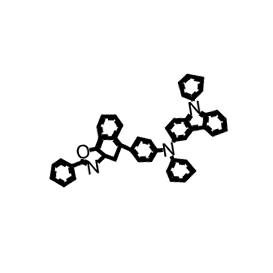 c1ccc(C2=NC3CC(c4ccc(N(c5ccccc5)c5ccc6c(c5)c5ccccc5n6-c5ccccc5)cc4)=c4ccccc4=C3O2)cc1